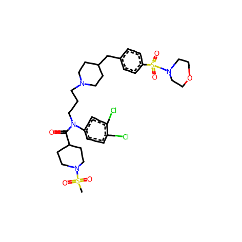 CS(=O)(=O)N1CCC(C(=O)N(CCCN2CCC(Cc3ccc(S(=O)(=O)N4CCOCC4)cc3)CC2)c2ccc(Cl)c(Cl)c2)CC1